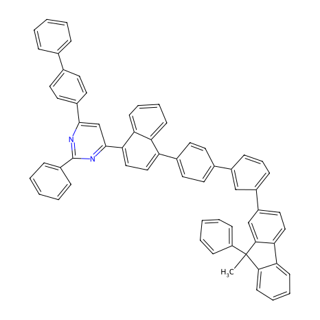 CC1(c2ccccc2)c2ccccc2-c2ccc(-c3cccc(-c4ccc(-c5ccc(-c6cc(-c7ccc(-c8ccccc8)cc7)nc(-c7ccccc7)n6)c6ccccc56)cc4)c3)cc21